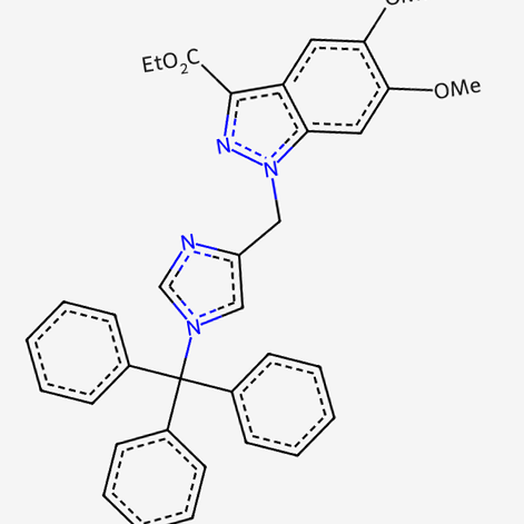 CCOC(=O)c1nn(Cc2cn(C(c3ccccc3)(c3ccccc3)c3ccccc3)cn2)c2cc(OC)c(OC)cc12